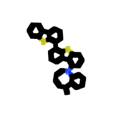 C=C1/C=C\C=C/N(c2cccc3sc4c(-c5cccc6c5sc5ccccc56)cccc4c23)c2ccccc21